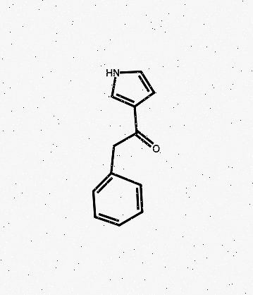 O=C(Cc1ccccc1)c1[c][nH]cc1